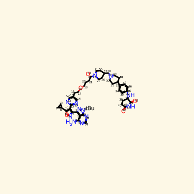 CC(C)(C)n1nc(-c2noc(C3CC3)c2-c2ncc(CCOCCCC(=O)N3CCC(CN4CCC(c5ccc(NC6CCC(=O)NC6=O)cc5)CC4)CC3)cn2)c2c(N)ncnc21